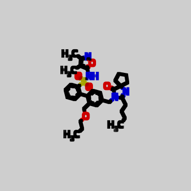 CCCCC1=NC2(CCCC2)C(=O)N1Cc1ccc(-c2ccccc2S(=O)(=O)Nc2onc(C)c2C)c(COCCC)c1